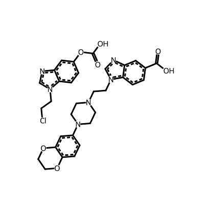 O=C(O)Oc1ccc2c(c1)ncn2CCCl.O=C(O)c1ccc2c(c1)ncn2CCN1CCN(c2ccc3c(c2)OCCO3)CC1